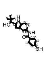 CC(C)(C)C(O)c1cc2cc(NC(=O)c3ccc(O)cc3)ncc2[nH]1